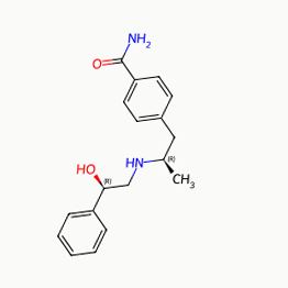 C[C@H](Cc1ccc(C(N)=O)cc1)NC[C@H](O)c1ccccc1